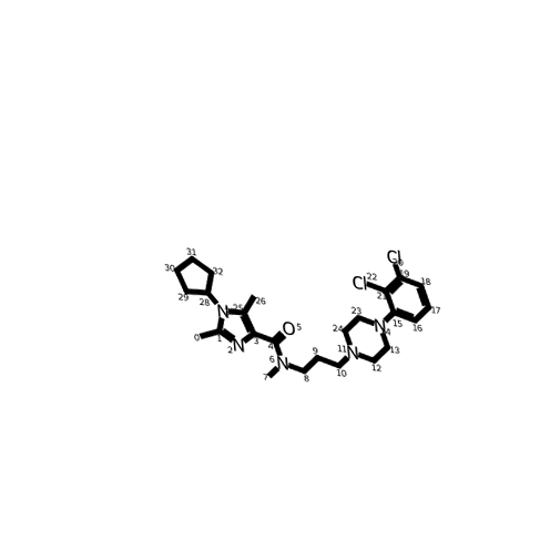 Cc1nc(C(=O)N(C)CCCN2CCN(c3cccc(Cl)c3Cl)CC2)c(C)n1C1CCCC1